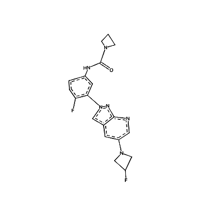 O=C(Nc1ccc(F)c(-n2cc3cc(N4CC(F)C4)cnc3n2)c1)N1CCC1